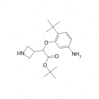 CC(C)(C)OC(=O)C(Oc1cc(N)ccc1C(C)(C)C)C1CNC1